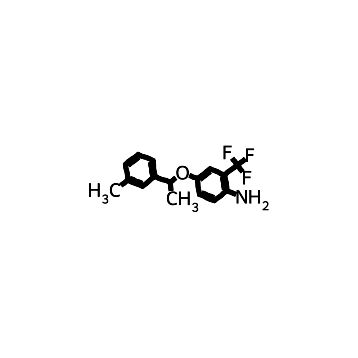 Cc1cccc(C(C)Oc2ccc(N)c(C(F)(F)F)c2)c1